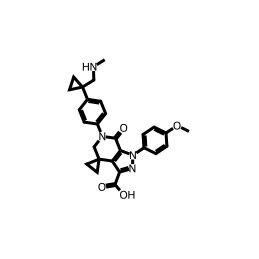 CNCC1(c2ccc(N3CC4(CC4)c4c(C(=O)O)nn(-c5ccc(OC)cc5)c4C3=O)cc2)CC1